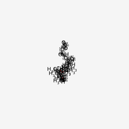 CC[C@H](C)[C@@H]([C@@H](CC(=O)N1CCC[C@H]1[C@H](OC)[C@@H](C)C(=O)N[C@@H](Cc1ccccc1)C(=O)Nc1ccc(CNC(=O)C2CCC(CN3C(=O)C=CC3=O)CC2)cc1)OC)N(C)C(=O)[C@@H](NC(=O)[C@@H]1[C@H]2CC[C@@H]([C@H]2C)N1C)C(C)C